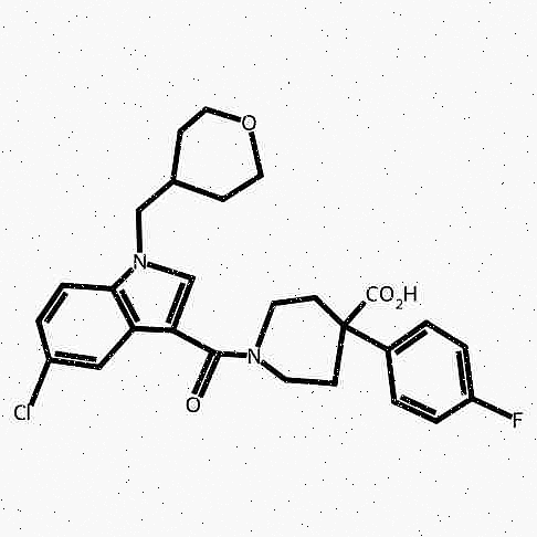 O=C(c1cn(CC2CCOCC2)c2ccc(Cl)cc12)N1CCC(C(=O)O)(c2ccc(F)cc2)CC1